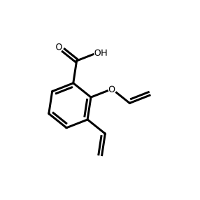 C=COc1c(C=C)cccc1C(=O)O